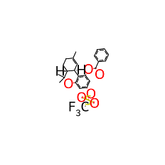 CC1=C[C@H]2c3c(OC(=O)c4ccccc4)cc(OS(=O)(=O)C(F)(F)F)cc3OC(C)(C)[C@@H]2CC1